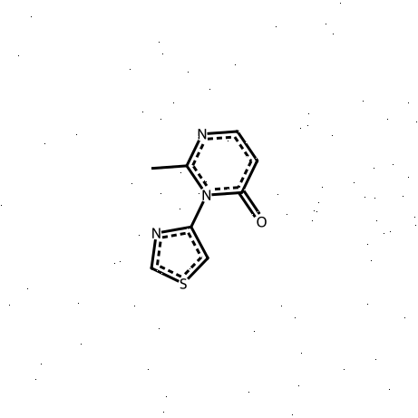 Cc1nccc(=O)n1-c1cscn1